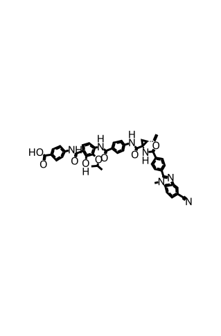 C=C[C@H]1C[C@@]1(NC(=O)c1ccc(-c2nc3cc(C#N)ccc3n2C)cc1)C(=O)Nc1ccc(C(=O)Nc2ccc(C(=O)Nc3ccc(C(=O)O)cc3)c(O)c2OC(C)C)cc1